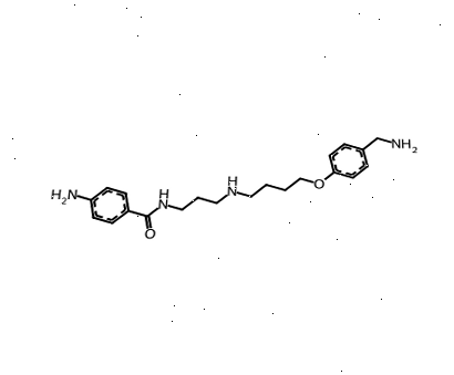 NCc1ccc(OCCCCNCCCNC(=O)c2ccc(N)cc2)cc1